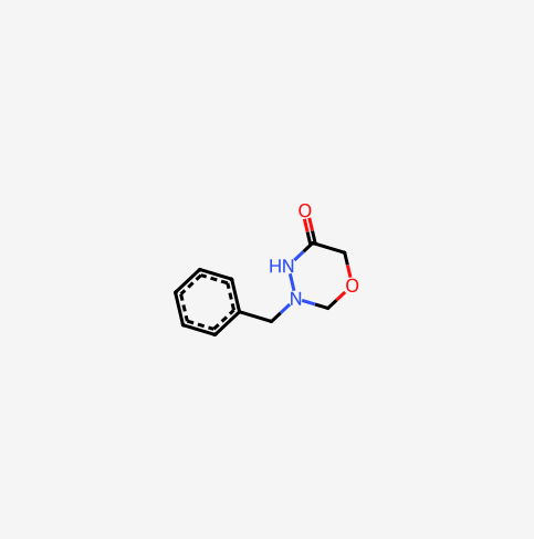 O=C1COCN(Cc2ccccc2)N1